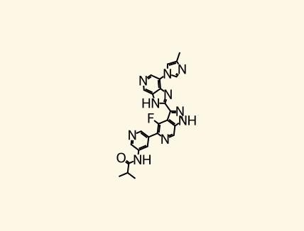 Cc1cn(-c2cncc3[nH]c(-c4n[nH]c5cnc(-c6cncc(NC(=O)C(C)C)c6)c(F)c45)nc23)cn1